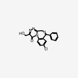 O=c1c(CO)nnc2n1-c1ccc(Cl)cc1C(c1ccccc1)=NC2